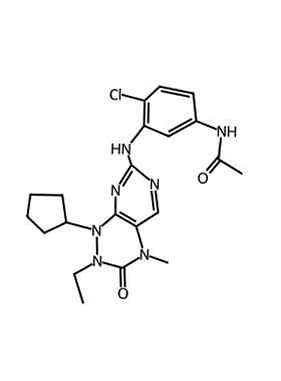 CCN1C(=O)N(C)c2cnc(Nc3cc(NC(C)=O)ccc3Cl)nc2N1C1CCCC1